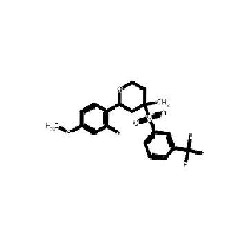 CSc1ccc(C2CC(C)(S(=O)(=O)c3cccc(C(F)(F)F)c3)CCO2)c(F)c1